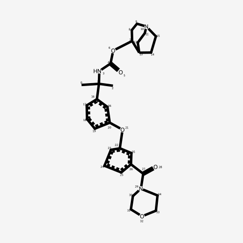 CC(C)(NC(=O)OC1CCN2CCC1CC2)c1cccc(Oc2cccc(C(=O)N3CCOCC3)c2)c1